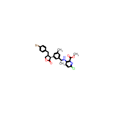 COC(=O)c1nc(Cl)ccc1N[C@H](C)c1cc(C)cc([C@H]2C(=O)OCC2Cc2ccc(Br)cc2)c1